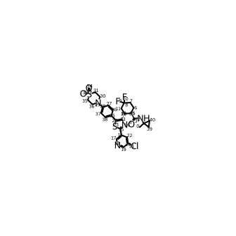 CC1(NC(=O)[C@@H]2CCC(F)(F)C[C@H]2c2nc(-c3cncc(Cl)c3)sc2-c2ccc(N3CCS(=O)(=O)CC3)cc2)CC1